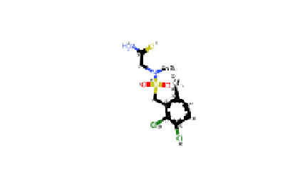 CCCCN(CC(N)=S)S(=O)(=O)Cc1c(C(F)(F)F)ccc(Cl)c1Cl